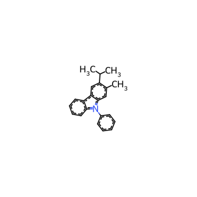 Cc1cc2c(cc1C(C)C)c1ccccc1n2-c1ccccc1